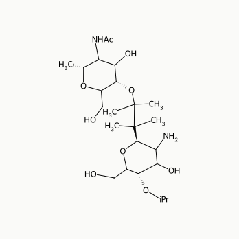 CC(=O)NC1C(O)[C@H](OC(C)(C)C(C)(C)[C@@H]2OC(CO)[C@@H](OC(C)C)C(O)C2N)C(CO)O[C@@H]1C